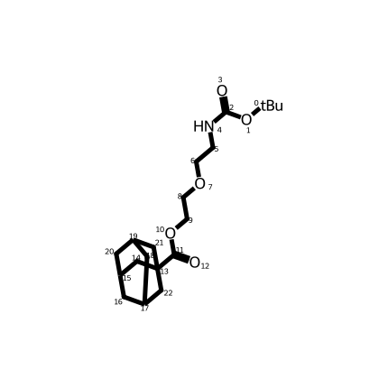 CC(C)(C)OC(=O)NCCOCCOC(=O)C12CC3CC(CC(C3)C1)C2